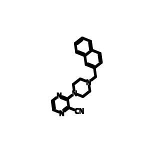 N#Cc1nccnc1N1CCN(Cc2ccc3ccccc3c2)CC1